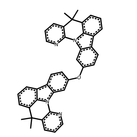 CC1(C)c2cccnc2-n2c3cc(Oc4ccc5c6cccc7c6n(c5c4)-c4ncccc4C7(C)C)ccc3c3cccc1c32